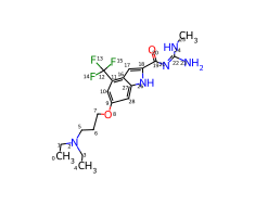 CCN(CC)CCCOc1cc(C(F)(F)F)c2cc(C(=O)N=C(N)NC)[nH]c2c1